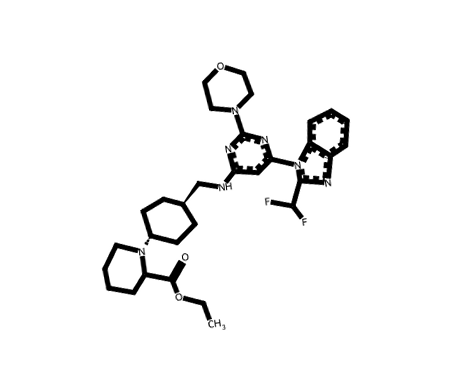 CCOC(=O)C1CCCCN1[C@H]1CC[C@H](CNc2cc(-n3c(C(F)F)nc4ccccc43)nc(N3CCOCC3)n2)CC1